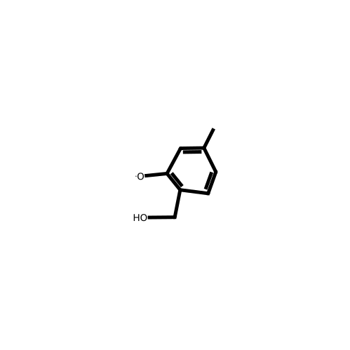 Cc1ccc(CO)c([O])c1